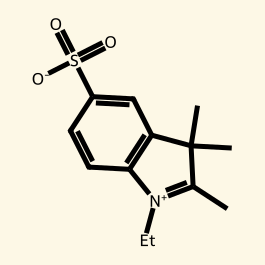 CC[N+]1=C(C)C(C)(C)c2cc(S(=O)(=O)[O-])ccc21